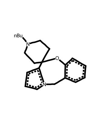 CCCCN1CCC2(CC1)Oc1ccccc1Cn1cccc12